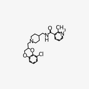 Cc1ncccc1C(=O)NCC1CCN(CC2COc3cccc(Cl)c3O2)CC1